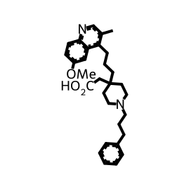 COc1ccc2ncc(C)c(CCCC3(CC(=O)O)CCN(CCCc4ccccc4)CC3)c2c1